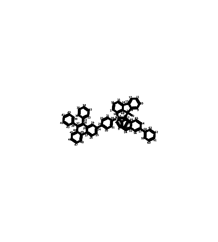 CC1(c2ccccc2)c2ccccc2-c2cccc(N(c3ccc(-c4ccc5c(c4)c(-c4ccccc4)c(-c4ccccc4)c4ccccc45)cc3)c3ccc4cc(-c5ccccc5)ccc4c3)c21